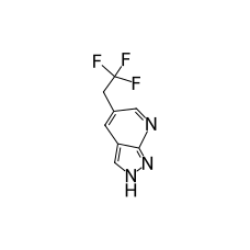 FC(F)(F)Cc1cnc2n[nH]cc2c1